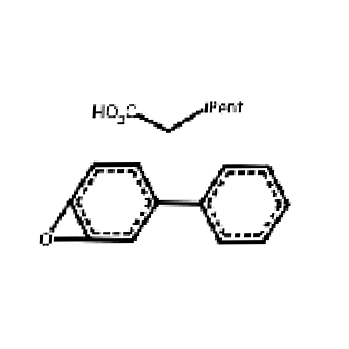 CCCC(C)CC(=O)O.c1ccc(-c2ccc3c(c2)O3)cc1